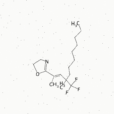 CCCCCCCCC(C)(C=C(C)C1=NCCO1)C(F)(F)F